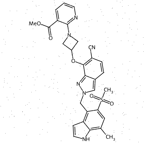 COC(=O)c1cccnc1N1CC(Oc2c(C#N)ccc3cn(Cc4c(S(C)(=O)=O)cc(C)c5[nH]ccc45)nc23)C1